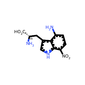 Nc1ccc([N+](=O)[O-])c2[nH]cc(C[C@H](N)C(=O)O)c12